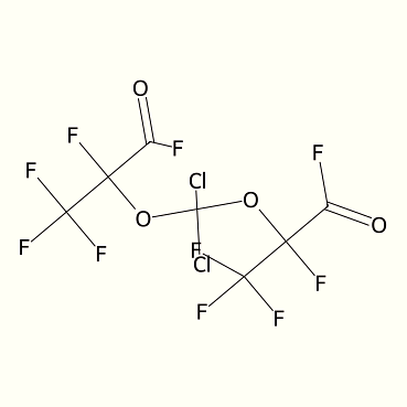 O=C(F)C(F)(OC(Cl)(Cl)OC(F)(C(=O)F)C(F)(F)F)C(F)(F)F